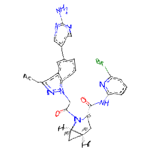 CC(=O)c1nn(CC(=O)N2[C@@H]3C[C@@H]3C[C@H]2C(=O)Nc2cccc(Br)n2)c2ccc(-c3cnc(N)nc3)cc12